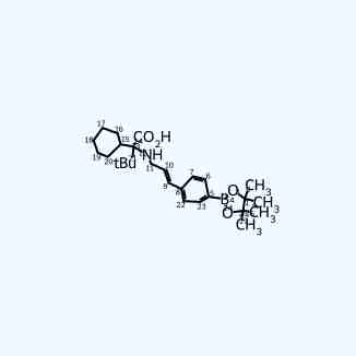 CC1(C)OB(c2ccc(/C=C/CN[C@@](C(=O)O)(C3CCCCC3)C(C)(C)C)cc2)OC1(C)C